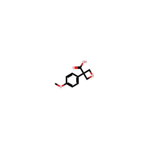 COc1ccc(C2(C(=O)O)COC2)cc1